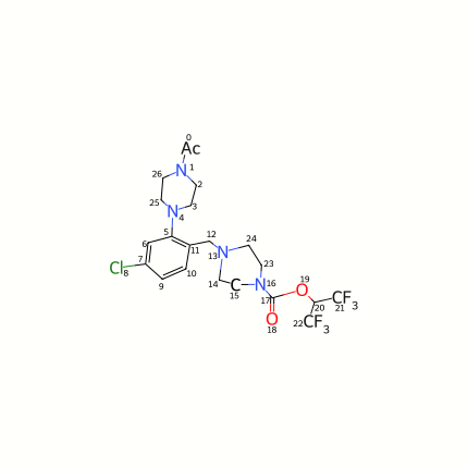 CC(=O)N1CCN(c2cc(Cl)ccc2CN2CCN(C(=O)OC(C(F)(F)F)C(F)(F)F)CC2)CC1